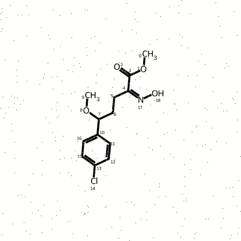 COC(=O)C(CCC(OC)c1ccc(Cl)cc1)=NO